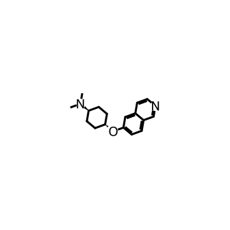 CN(C)[C@H]1CC[C@H](Oc2ccc3cnccc3c2)CC1